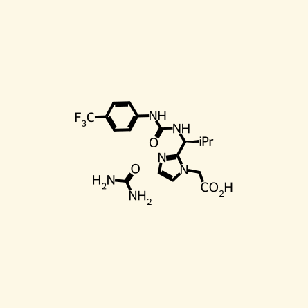 CC(C)[C@H](NC(=O)Nc1ccc(C(F)(F)F)cc1)c1nccn1CC(=O)O.NC(N)=O